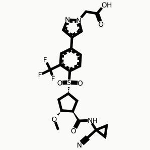 CO[C@@H]1C[C@H](S(=O)(=O)c2ccc(-c3cnn(CC(=O)O)c3)cc2C(F)(F)F)C[C@H]1C(=O)NC1(C#N)CC1